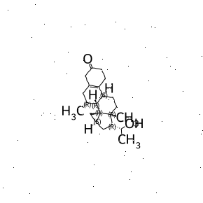 CC(O)[C@@H]1C[C@H]2C[C@]23[C@@H]2[C@H](C)CC4=C(CCC(=O)C4)[C@H]2CC[C@]13C